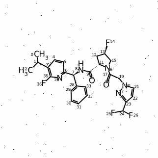 CC(C)c1ccc([C@@H](NC(=O)[C@@H]2C[C@@H](F)CN2C(=O)Cn2ccc(C(F)F)n2)c2ccccc2)nc1F